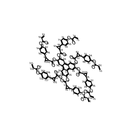 C=CC(=O)Oc1ccc(C2CC2C(=O)Oc2cc3c4cc(OC(=O)C5CC5c5ccc(OC(=O)C=C)cc5)c(OC(=O)C5CC5c5ccc(OC(=O)C=C)cc5)cc4c4cc(OC(=O)C5CC5c5ccc(OC(=O)C=C)cc5)c(OC(=O)C5CC5c5ccc(OC(=O)C=C)cc5)cc4c3cc2OC(=O)C2CC2c2ccc(OC(=O)C=C)cc2)cc1